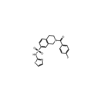 O=C(c1ccc(F)cc1)N1CCc2ccc(S(=O)(=O)Nc3nccs3)cc2C1